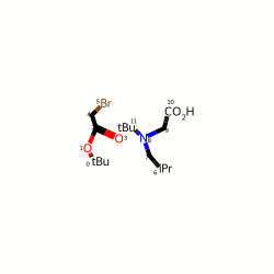 CC(C)(C)OC(=O)CBr.CC(C)CN(CC(=O)O)C(C)(C)C